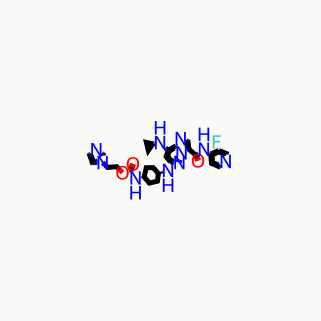 O=C(N[C@H]1CC[C@H](Nc2cc(NC3CC3)c3ncc(C(=O)Nc4ccncc4F)n3n2)CC1)OCCn1ccnc1